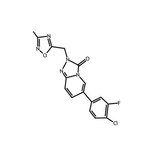 Cc1noc(Cn2nc3ccc(-c4ccc(Cl)c(F)c4)cn3c2=O)n1